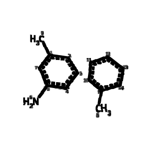 Cc1cc[c]c(N)c1.Cc1cc[c]cc1